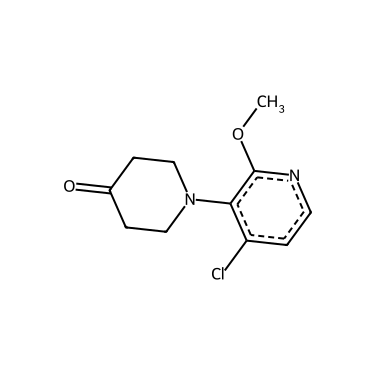 COc1nccc(Cl)c1N1CCC(=O)CC1